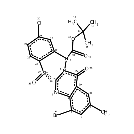 Cc1cc(Br)c2ncn(N(C(=O)OC(C)(C)C)c3cc(Cl)ccc3[SH](=O)=O)c(=O)c2c1